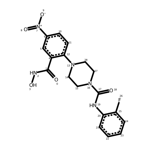 O=C(NO)c1cc([N+](=O)[O-])ccc1N1CCN(C(=O)Nc2ccccc2F)CC1